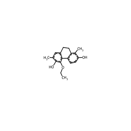 CCOc1c(O)c(C)cc2c1-c1ccc(O)c(C)c1CC2